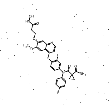 COc1cc2c(Oc3ccc(N(C(=O)C4(C(N)=O)CC4)c4ccc(F)cc4)cc3F)ccnc2cc1OCCC(=O)NO